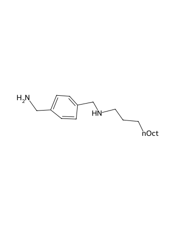 CCCCCCCCCCCNCc1ccc(CN)cc1